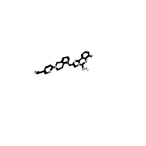 N#Cc1ccc(N2CCc3c(Cc4cn5c(N)nc6c(F)cccc6c5n4)cccc3C2)nc1